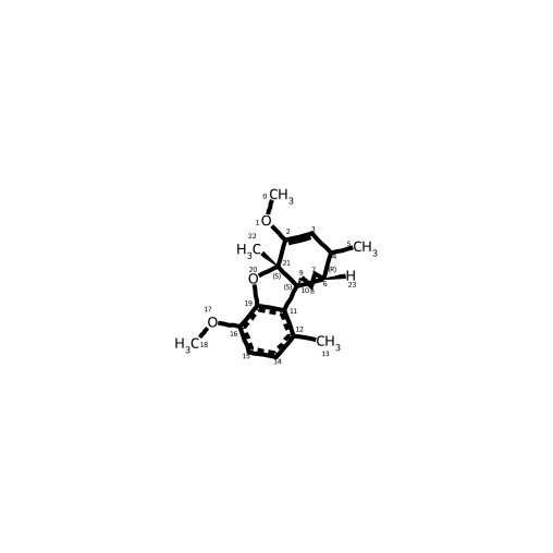 COC1=CC(C)[C@H]2CCC[C@@]23c2c(C)ccc(OC)c2O[C@]13C